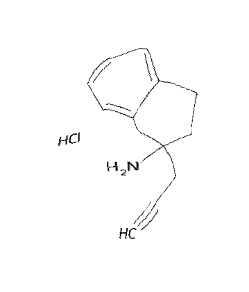 C#CCC1(N)CCc2ccccc21.Cl